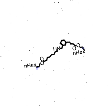 CCCCCC/C=C\COC(=O)CCCCCCCNCc1cccc(CCCC(=O)OC/C=C\CCCCCC)c1